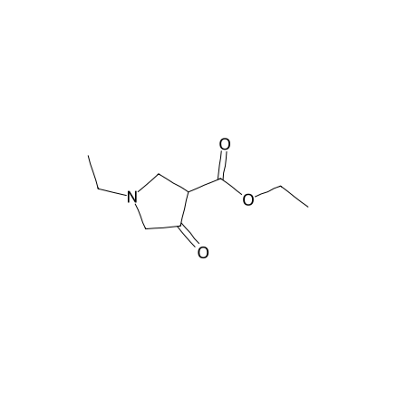 CCOC(=O)C1CN(CC)CC1=O